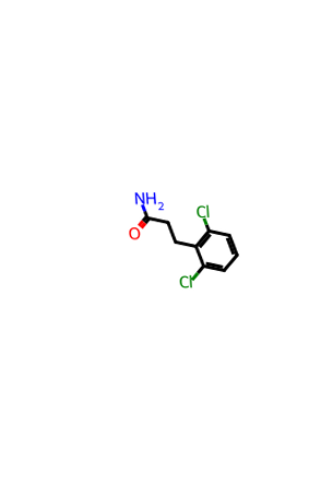 NC(=O)CCc1c(Cl)cccc1Cl